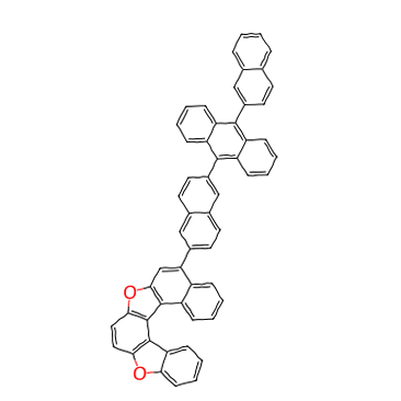 c1ccc2cc(-c3c4ccccc4c(-c4ccc5cc(-c6cc7oc8ccc9oc%10ccccc%10c9c8c7c7ccccc67)ccc5c4)c4ccccc34)ccc2c1